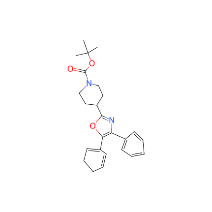 CC(C)(C)OC(=O)N1CCC(c2nc(-c3ccccc3)c(C3=CCCC=C3)o2)CC1